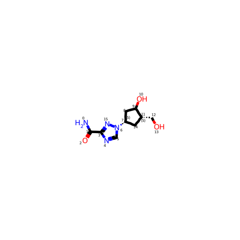 NC(=O)c1ncn([C@@H]2CC(O)[C@H](CO)C2)n1